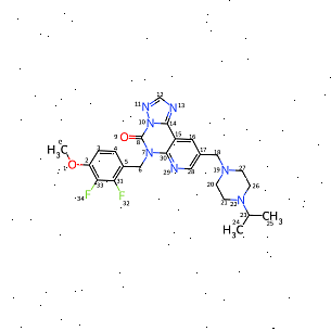 COc1ccc(Cn2c(=O)n3ncnc3c3cc(CN4CCN(C(C)C)CC4)cnc32)c(F)c1F